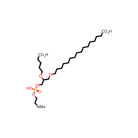 CNCCOP(=O)(O)OCC(COCCCCCCCCCCCCCCCC(=O)O)OCCCCC(=O)O